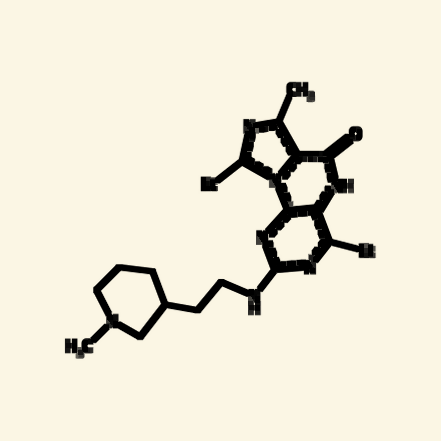 CCc1nc(NCCC2CCCN(C)C2)nc2c1[nH]c(=O)c1c(C)nc(CC)n12